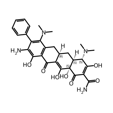 CN(C)c1c2c(c(O)c(N)c1-c1ccccc1)C(=O)C1=C(O)[C@]3(O)C(=O)C(C(N)=O)=C(O)[C@@H](N(C)C)[C@@H]3C[C@@H]1C2